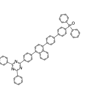 O=P(c1ccccc1)(c1ccccc1)c1ccc(-c2ccc(-c3ccc(-c4ccc(-c5nc(-c6ccccc6)nc(-c6ccccc6)n5)cc4)c4ccccc34)cc2)cc1